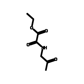 CCOC(=O)C(=O)NCC(C)=O